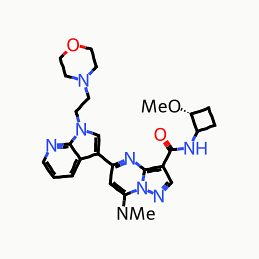 CNc1cc(-c2cn(CCN3CCOCC3)c3ncccc23)nc2c(C(=O)NC3CC[C@H]3OC)cnn12